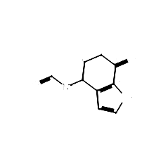 O=CNC1CCC(=O)c2sccc21